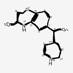 O=C1COc2ccc(C(=O)C3CCNCC3)cc2N1